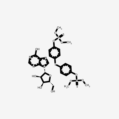 COP(=S)(OC)Oc1ccc(Sc2ccc(OP(=S)(OC)OC)cc2)cc1.OC[C@H]1O[C@@H](n2cnc3c(O)ncnc32)[C@H](O)[C@@H]1O